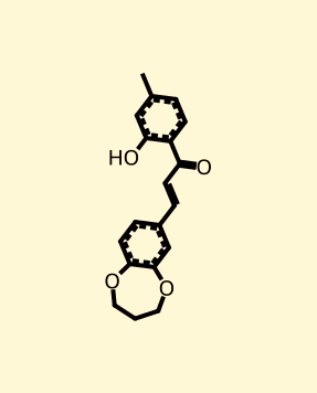 Cc1ccc(C(=O)/C=C/c2ccc3c(c2)OCCCO3)c(O)c1